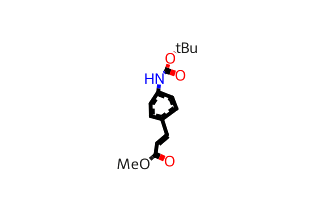 COC(=O)/C=C/c1ccc(NC(=O)OC(C)(C)C)cc1